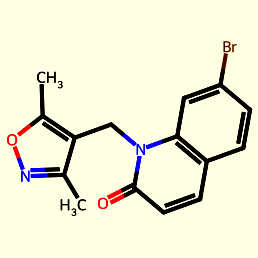 Cc1noc(C)c1Cn1c(=O)ccc2ccc(Br)cc21